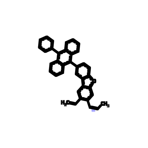 C=Cc1cc2c(cc1/C=C\C)oc1ccc(-c3c4ccccc4c(-c4ccccc4)c4ccccc34)cc12